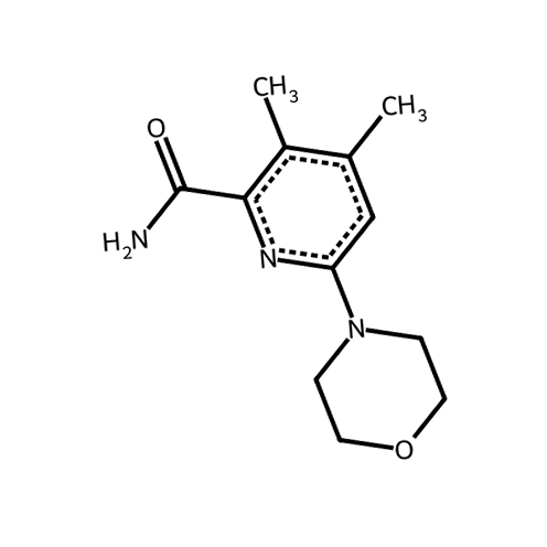 Cc1cc(N2CCOCC2)nc(C(N)=O)c1C